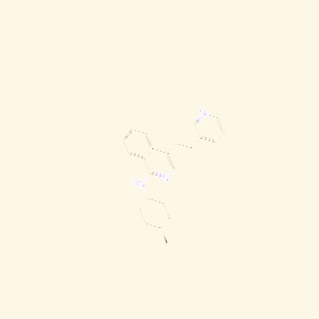 CC[C@H]1CC[C@H](Nc2ncc(CCc3cccnc3)c3ccccc23)CC1